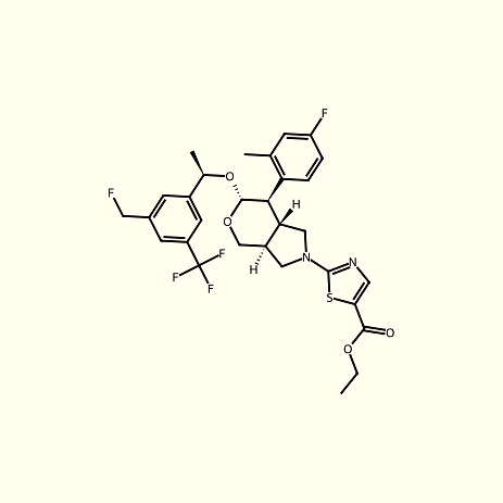 CCOC(=O)c1cnc(N2C[C@H]3CO[C@H](O[C@H](C)c4cc(CF)cc(C(F)(F)F)c4)[C@@H](c4ccc(F)cc4C)[C@@H]3C2)s1